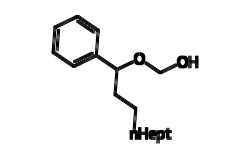 CCCCCCCCCC(OCO)c1ccccc1